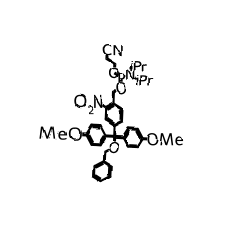 COc1ccc(C(OCc2ccccc2)(c2ccc(OC)cc2)c2ccc(COP(OCCC#N)N(C(C)C)C(C)C)c([N+](=O)[O-])c2)cc1